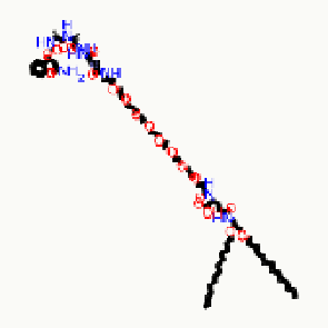 CCCCCCCCCCCCCCOCC(CNC(=O)CC[C@H](NC(=O)CCOCCOCCOCCOCCOCCOCCOCCOCCNC(=O)/C=C/C(=O)NNC(=O)[C@H](C)NC(=O)[C@H](C)NC(=O)OC(CC(N)=O)c1ccccc1)C(=O)O)OCCCCCCCCCCCCCC